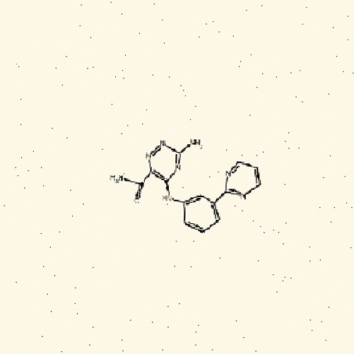 NC(=O)c1nnc(N)nc1Nc1cccc(-c2ncccn2)c1